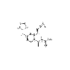 C[C@H](N[S@+]([O-])C(C)(C)C)c1ccc(SC2CCCC2)cc1/C=C/C1CC1